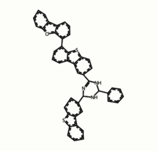 c1ccc(C2NC(c3ccc4sc5c(-c6cccc7c6oc6ccccc67)cccc5c4c3)=NC(c3ccc4sc5ccccc5c4c3)N2)cc1